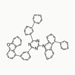 c1ccc(-c2cccc(-c3nc(-c4cccc(-c5cccc6oc7ccccc7c56)c4)nc(-n4c5ccccc5c5c(-c6ccccc6)cccc54)n3)c2)cc1